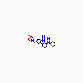 c1cc2[nH]c3c(c2cc1CN1CCOCC1)CCCC3NC1CCCCC1